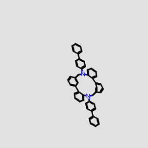 c1ccc(-c2ccc(N3Cc4cccc(c4)-c4ccccc4N(c4ccc(-c5ccccc5)cc4)Cc4cccc(c4)-c4ccccc43)cc2)cc1